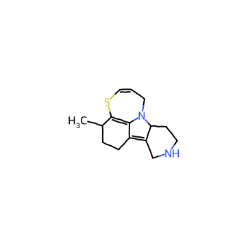 CC1CCC2=C3CNCCC3N3CC=CSC1=C23